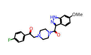 COc1ccc2c(C(=O)N3CCN(CC(=O)c4ccc(F)cc4)CC3)n[nH]c2c1